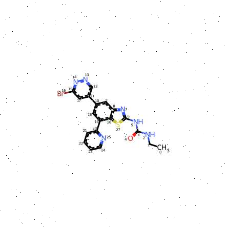 CCNC(=O)Nc1nc2cc(-c3cnnc(Br)c3)cc(-c3ccccn3)c2s1